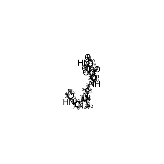 CN1CCC(Nc2ccnc(-c3cn(C4CC(CNc5ccc6c(c5)C(=O)N(C5CCC(=O)NC5=O)C6=O)C4)nc3C3CC3)c2)CC1